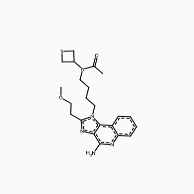 COCCc1nc2c(N)nc3ccccc3c2n1CCCCN(C(C)=O)C1CSC1